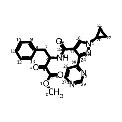 COC(=O)C(=O)C(Cc1ccccc1)NC(=O)c1cn(C2CC2)nc1-c1ccncn1